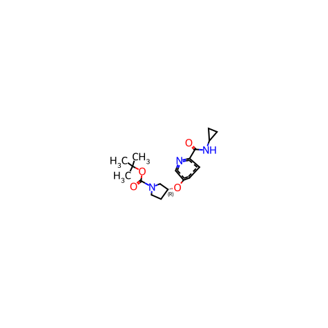 CC(C)(C)OC(=O)N1CC[C@@H](Oc2ccc(C(=O)NC3CC3)nc2)C1